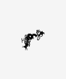 Cc1cc(Br)c(C(=O)NCCc2ccc(S(=O)(=O)Nc3nnc(C(C)C)s3)cc2)s1